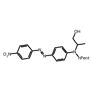 CCCCCN(c1ccc(/N=N/c2ccc([N+](=O)[O-])cc2)cc1)C(C)CO